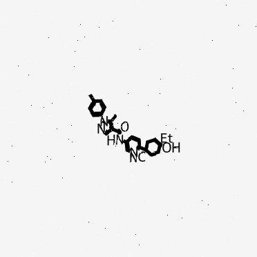 CC[C@]1(O)CC[C@@](C#N)(c2ccc(NC(=O)c3cnn(-c4ccc(C)cc4)c3C)cn2)CC1